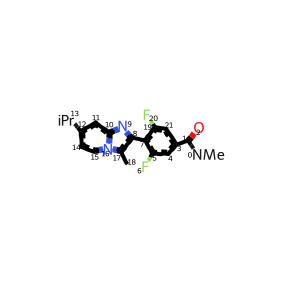 CNC(=O)c1cc(F)c(-c2nc3cc(C(C)C)ccn3c2C)c(F)c1